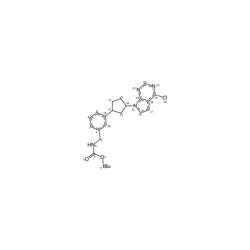 CC(C)(C)OC(=O)NCc1cccc(C2CCC(n3ccc4c(Cl)ncnc43)C2)c1